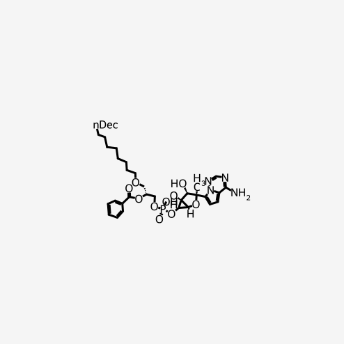 CCCCCCCCCCCCCCCCCCOC[C@H](COP(=O)(O)OC1[C@H]2O[C@@](C)(c3ccc4c(N)ncnn34)[C@H](O)[C@@]12O)OC(=O)c1ccccc1